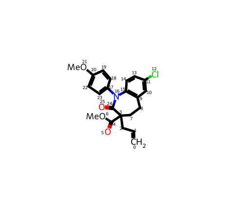 C=CCC1(C(=O)OC)CCc2cc(Cl)ccc2N(c2ccc(OC)cc2)C1=O